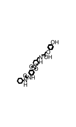 O=C(Nc1ccc(S(=O)(=O)N2CCC(CNC[C@H](O)COc3ccc(O)cc3)CC2)cc1)NC1CCCCC1